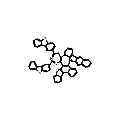 C1=Cc2c3n(c4cc5ccccc5cc24)-c2c(c4oc5ccccc5c4c4ccccc24)C2=C(CC(c4ccc5sc6ccccc6c5c4)=NC(c4ccc5sc6ccccc6c5c4)=N2)C3C1